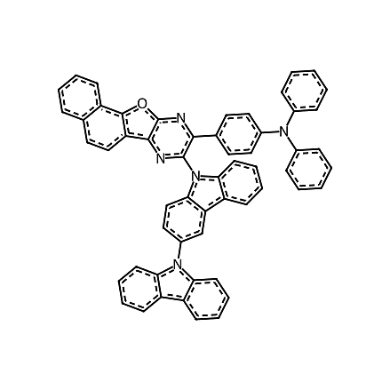 c1ccc(N(c2ccccc2)c2ccc(-c3nc4oc5c6ccccc6ccc5c4nc3-n3c4ccccc4c4cc(-n5c6ccccc6c6ccccc65)ccc43)cc2)cc1